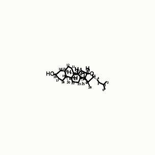 CC(C)CC[C@H]1O[C@H]2C[C@H]3[C@@H]4CCC5CC(O)CC[C@]5(C)[C@H]4CC[C@]3(C)[C@H]2[C@@H]1C